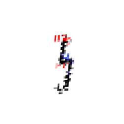 CCCCC/C=C/CC(O)/C=C\c1cccc(/C=C/CCCC(=O)O)n1